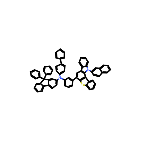 c1ccc(-c2ccc(N(c3cccc(-c4cc5c6ccccc6n(-c6ccc7ccccc7c6)c5c5c4sc4ccccc45)c3)c3ccc4c(c3)C(c3ccccc3)(c3ccccc3)c3ccccc3-4)cc2)cc1